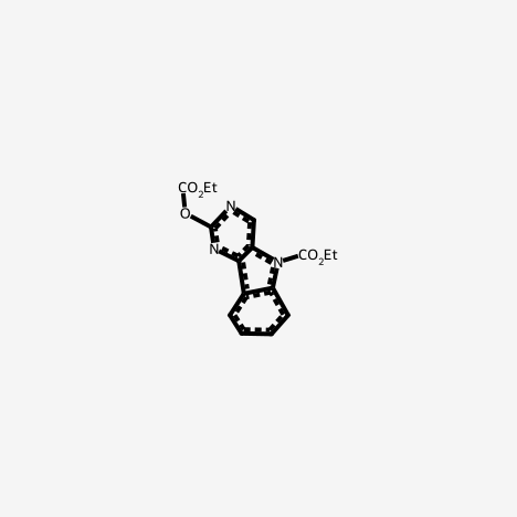 CCOC(=O)Oc1ncc2c(n1)c1ccccc1n2C(=O)OCC